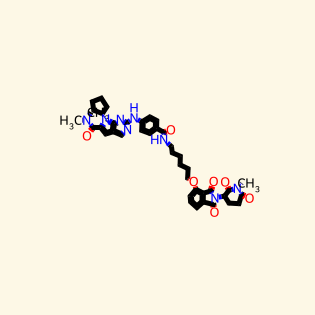 CN(C)C(=O)c1cc2cnc(Nc3ccc(C(=O)NCCCCCCOc4cccc5c4C(=O)N(C4CCC(=O)N(C)C4=O)C5=O)cc3)nc2n1C1CCCC1